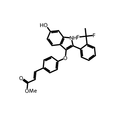 COC(=O)/C=C/c1ccc(Oc2c(-c3ccccc3C(C)(F)F)[nH]c3cc(O)ccc23)cc1